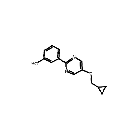 Oc1cccc(-c2ncc(OCC3CC3)cn2)c1